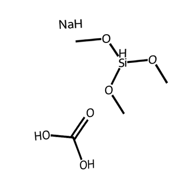 CO[SiH](OC)OC.O=C(O)O.[NaH]